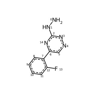 NNc1nncc(-c2ccccc2F)n1